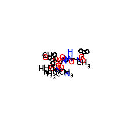 COc1ccc(C(OC[C@H]2O[C@@H](n3ccc(NC(=O)CCCN(C)C(=O)OCC4c5ccccc5-c5ccccc54)nc3=O)C[C@H]2OP(OCCC#N)N(C(C)C)C(C)C)(c2ccccc2)c2ccc(OC)cc2)cc1